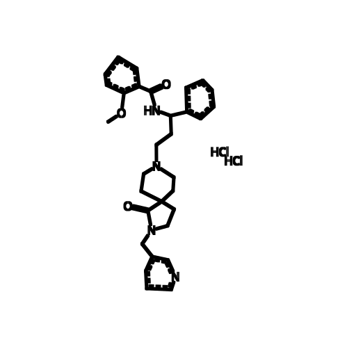 COc1ccccc1C(=O)NC(CCN1CCC2(CC1)CCN(Cc1cccnc1)C2=O)c1ccccc1.Cl.Cl